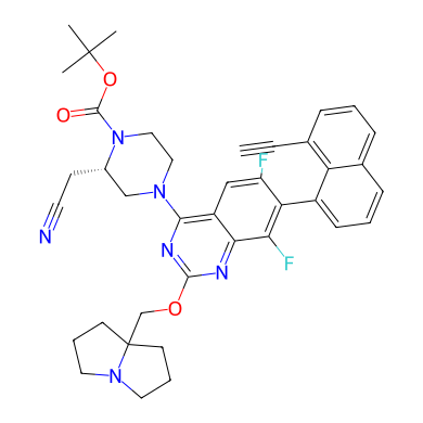 C#Cc1cccc2cccc(-c3c(F)cc4c(N5CCN(C(=O)OC(C)(C)C)[C@@H](CC#N)C5)nc(OCC56CCCN5CCC6)nc4c3F)c12